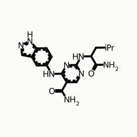 CC(C)CC(Nc1ncc(C(N)=O)c(Nc2ccc3[nH]ncc3c2)n1)C(N)=O